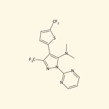 CN(C)c1c(-c2ccc(C(F)(F)F)s2)c(C(F)(F)F)nn1-c1ncccn1